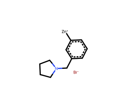 [Br-].[Zn+][c]1cccc(CN2CCCC2)c1